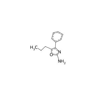 CCCc1oc(N)nc1-c1ccccc1